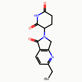 CC(C)(C)Cc1ccc2c(n1)CN(C1CCC(=O)NC1=O)C2=O